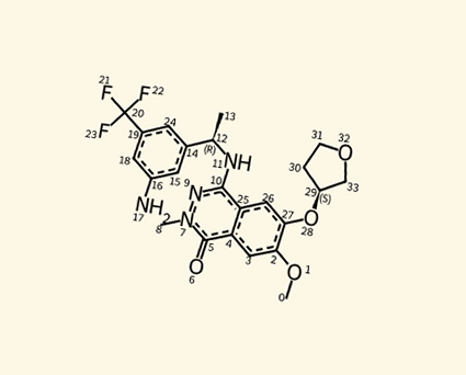 COc1cc2c(=O)n(C)nc(N[C@H](C)c3cc(N)cc(C(F)(F)F)c3)c2cc1O[C@H]1CCOC1